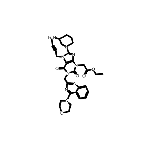 CC#CCn1c(N2CCCC(N)C2)nc2c1c(=O)n(Cc1nc(N3CCOCC3)c3ccccc3n1)c(=O)n2CC(=O)OCC